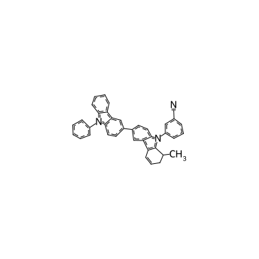 CC1CC=Cc2c1n(-c1cccc(C#N)c1)c1ccc(-c3ccc4c(c3)c3ccccc3n4-c3ccccc3)cc21